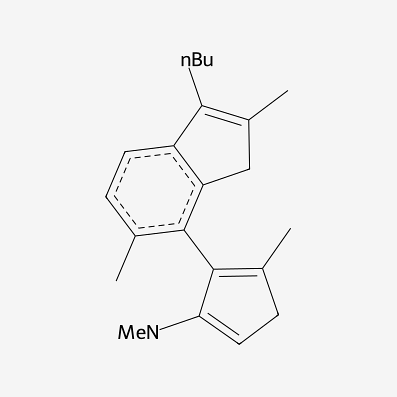 CCCCC1=C(C)Cc2c1ccc(C)c2C1=C(C)CC=C1NC